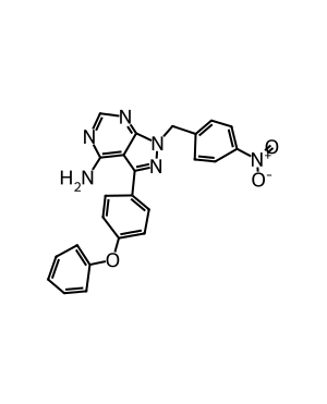 Nc1ncnc2c1c(-c1ccc(Oc3ccccc3)cc1)nn2Cc1ccc([N+](=O)[O-])cc1